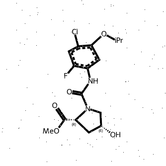 COC(=O)[C@H]1C[C@@H](O)CN1C(=O)Nc1cc(OC(C)C)c(Cl)cc1F